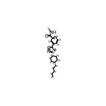 CCCCC[C@H]1CC[C@H](c2noc(-c3ccnc(C(=O)NC)c3)n2)CC1